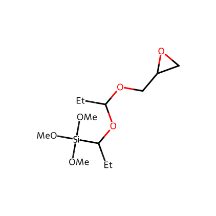 CCC(OCC1CO1)OC(CC)[Si](OC)(OC)OC